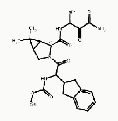 CCCC(NC(=O)[C@@H]1C2C(CN1C(=O)C(NC(=O)OC(C)(C)C)C1Cc3ccccc3C1)C2(C)C)C(=O)C(N)=O